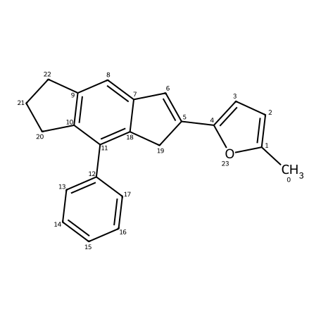 Cc1ccc(C2=Cc3cc4c(c(-c5ccccc5)c3C2)CCC4)o1